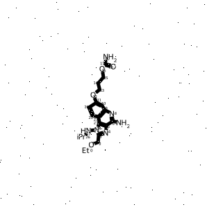 CCOCc1nc2c(N)nc3cc(OCCCOC(N)=O)ccc3c2n1NC(C)C